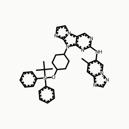 Cc1cc2ncnn2cc1Nc1ncc2c(n1)n(C1CCC(O[Si](c3ccccc3)(c3ccccc3)C(C)(C)C)CC1)c1nccn21